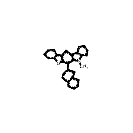 Cn1c2ccccc2c2cc3c(oc4ccccc43)c(-c3ccc4ccccc4c3)c21